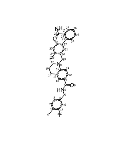 Cc1ccc(CNC(=O)c2ccc3c(c2)CCCN3Cc2cc(-c3ccccc3C(N)=O)ccc2F)cc1F